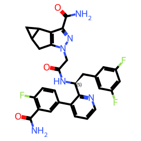 NC(=O)c1cc(-c2cccnc2[C@H](Cc2cc(F)cc(F)c2)NC(=O)Cn2nc(C(N)=O)c3c2CC2CC32)ccc1F